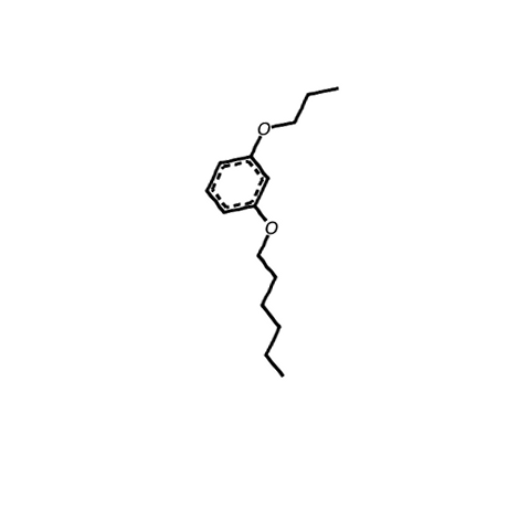 CCCCCCOc1cccc(OCCC)c1